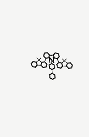 CC1(C)c2ccccc2-c2cccc(-c3cccc4c5cccc(-c6cccc7c6C(C)(C)c6ccccc6-7)c5n(-c5ccc(-c6ccccc6)cc5)c34)c21